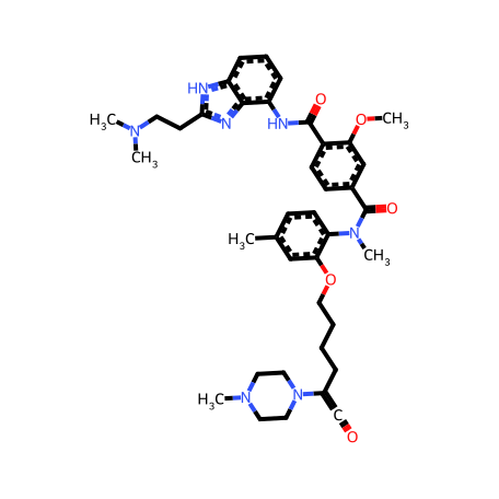 COc1cc(C(=O)N(C)c2ccc(C)cc2OCCCCC(=C=O)N2CCN(C)CC2)ccc1C(=O)Nc1cccc2[nH]c(CCN(C)C)nc12